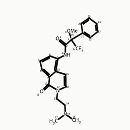 CO[C@@](C(=O)Nc1cccc2c(=O)n(CCN(C)C)ccc12)(c1ccccc1)C(F)(F)F